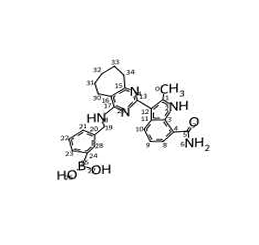 Cc1[nH]c2c(C(N)=O)cccc2c1-c1nc2c(c(NCc3cccc(B(O)O)c3)n1)CCCCC2